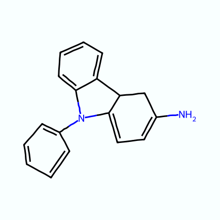 NC1=CC=C2C(C1)c1ccccc1N2c1ccccc1